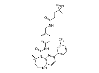 C[C@@H]1CCNc2ccc(-c3cccc(C(F)(F)F)c3)nc2N1C(=O)Nc1ccc(CNC(=O)CCC2(C)N=N2)cc1